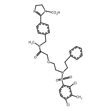 Cc1c(Cl)ccc(S(=O)(=O)N(CCOCC(=O)N(C)Cc2ccc(C3=NCCN3C(=O)O)cc2)CCc2ccccc2)c1Cl